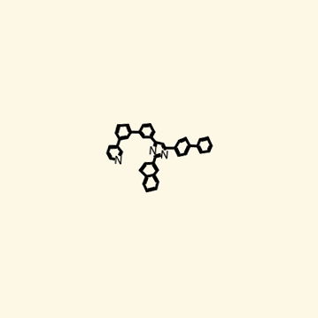 c1ccc(-c2ccc(-c3cc(-c4cccc(-c5cccc(-c6cccnc6)c5)c4)nc(-c4ccc5ccccc5c4)n3)cc2)cc1